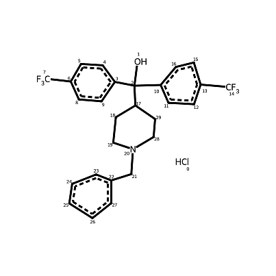 Cl.OC(c1ccc(C(F)(F)F)cc1)(c1ccc(C(F)(F)F)cc1)C1CCN(Cc2ccccc2)CC1